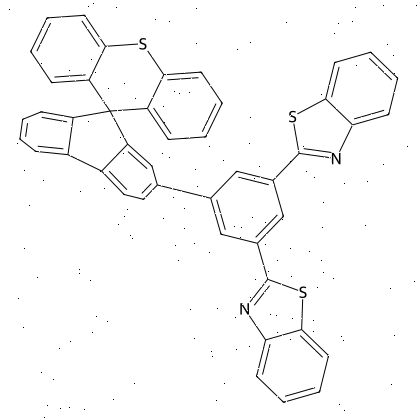 c1ccc2c(c1)Sc1ccccc1C21c2ccccc2-c2ccc(-c3cc(-c4nc5ccccc5s4)cc(-c4nc5ccccc5s4)c3)cc21